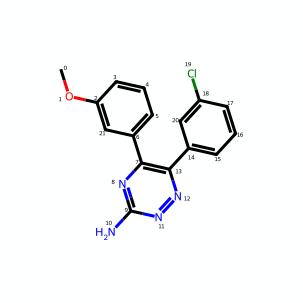 COc1cccc(-c2nc(N)nnc2-c2cccc(Cl)c2)c1